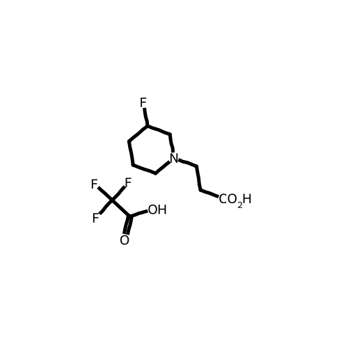 O=C(O)C(F)(F)F.O=C(O)CCN1CCCC(F)C1